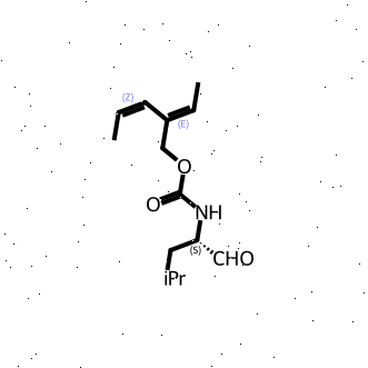 C/C=C\C(=C/C)COC(=O)N[C@H](C=O)CC(C)C